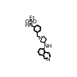 CCS(=O)(=O)Nc1cccc(CN2CCC(Nc3cccc4cnccc34)C2)c1